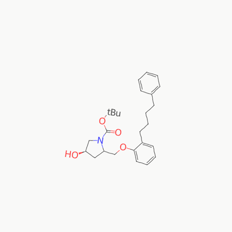 CC(C)(C)OC(=O)N1C[C@H](O)CC1COc1ccccc1CCCCc1ccccc1